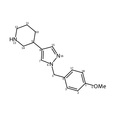 COc1ccc(Cn2cc(C3CCCNC3)cn2)cc1